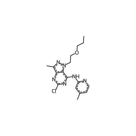 CCCOCCn1nc(C)c2nc(Cl)nc(Nc3cc(C)ccn3)c21